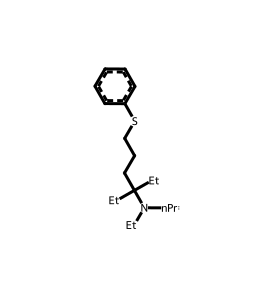 CC[C]N(CC)C(CC)(CC)CCCSc1ccccc1